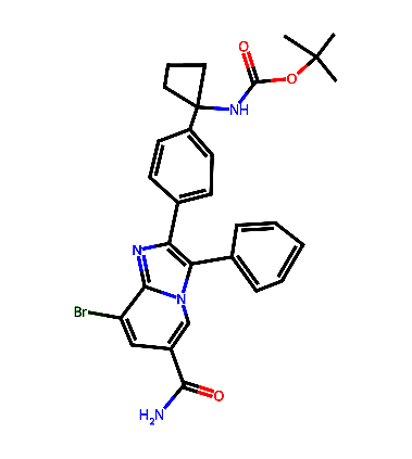 CC(C)(C)OC(=O)NC1(c2ccc(-c3nc4c(Br)cc(C(N)=O)cn4c3-c3ccccc3)cc2)CCC1